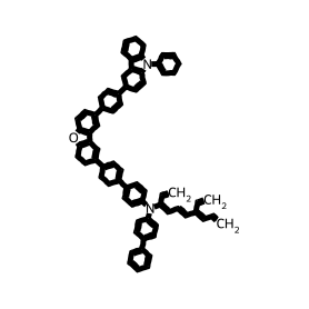 C=C/C=C(C=C)/C=C/C=C(\C=C)N(c1ccc(C2=CC=C(C3=Cc4c(oc5ccc(C6C=CC(C7C=Cc8c(c9c(n8C8=CCCC=C8)CCC=C9)C7)=CC6)cc45)CC3)CC2)cc1)c1ccc(-c2ccccc2)cc1